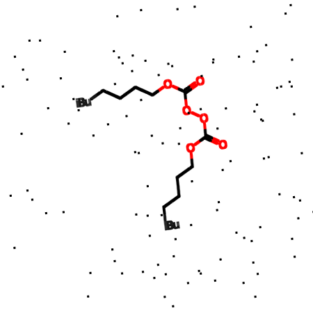 CCC(C)CCCCOC(=O)OOC(=O)OCCCCC(C)CC